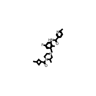 Cc1ccc(C(=O)Nc2cc(F)cc(CN3CCN(C(=O)C4CC(C)C4)C(C)C3)c2C)cn1